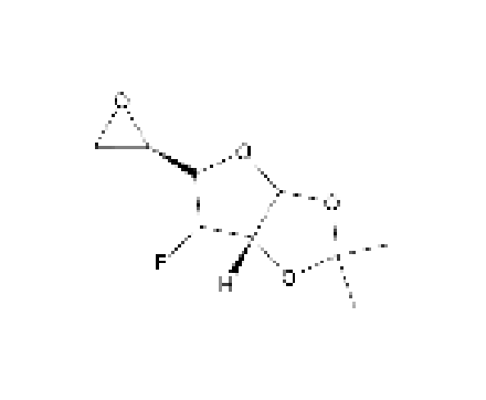 CC1(C)OC2OC([C@H]3CO3)C(F)[C@H]2O1